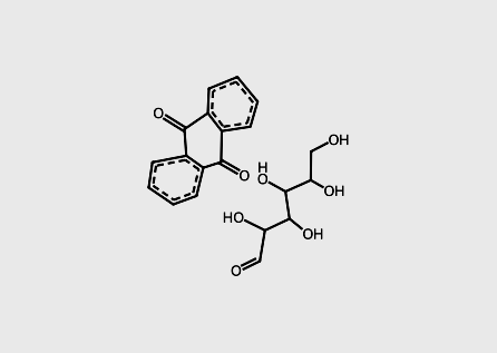 O=C1c2ccccc2C(=O)c2ccccc21.O=CC(O)C(O)C(O)C(O)CO